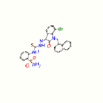 NS(=O)(=O)c1ccccc1NC(=S)NN=C1C(=O)N(Cc2cccc3ccccc23)c2c(Br)cccc21